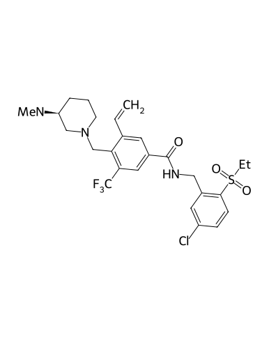 C=Cc1cc(C(=O)NCc2cc(Cl)ccc2S(=O)(=O)CC)cc(C(F)(F)F)c1CN1CCC[C@H](NC)C1